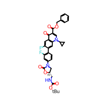 CC(C)(C)OC(=O)NC[C@H]1CN(c2ccc(-c3cc4c(cc3F)c(=O)c(C(=O)OCc3ccccc3)cn4C3CC3)c(F)c2)C(=O)O1